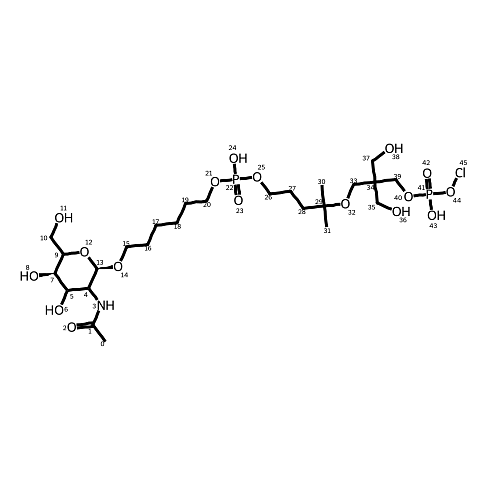 CC(=O)NC1C(O)[C@@H](O)C(CO)O[C@H]1OCCCCCCOP(=O)(O)OCCCC(C)(C)OCC(CO)(CO)COP(=O)(O)OCl